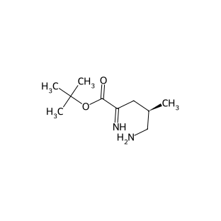 C[C@@H](CN)CC(=N)C(=O)OC(C)(C)C